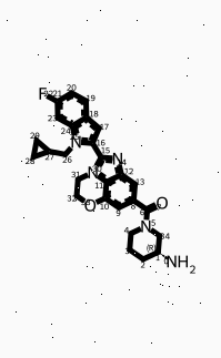 N[C@@H]1CCCN(C(=O)c2cc3c4c(c2)nc(-c2cc5ccc(F)cc5n2CC2CC2)n4CCO3)C1